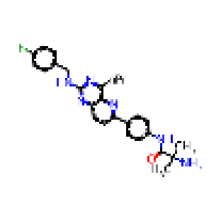 CCCc1nc(NCc2ccc(F)cc2)nc2ccc(-c3ccc(NC(=O)C(C)(C)N)cc3)nc12